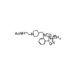 CC(=O)NCCN1CCC(CN(C(=O)O)c2ccccc2-c2nc(C)no2)CC1